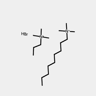 Br.CCCCCCCCC[N+](C)(C)C.CCC[N+](C)(C)C